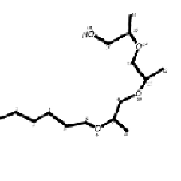 CCCCCCOC(C)COC(C)COC(C)CO